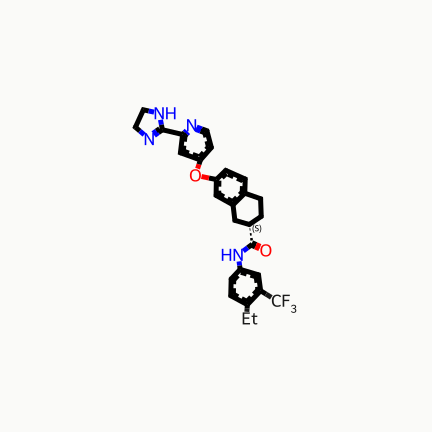 CCc1ccc(NC(=O)[C@H]2CCc3ccc(Oc4ccnc(C5=NCCN5)c4)cc3C2)cc1C(F)(F)F